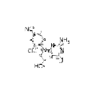 N#Cc1ccc(N(CCO)c2cc(I)nc(N)n2)c(Cl)c1